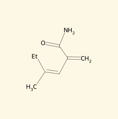 C=C(/C=C(/C)CC)C(N)=O